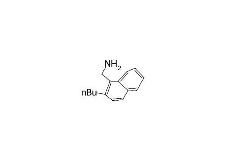 CCCCc1ccc2ccccc2c1CN